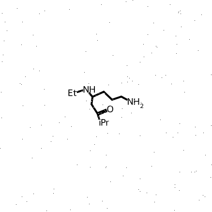 CCNC(CCCN)CC(=O)C(C)C